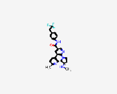 CN[C@@H]1CCN(c2ncc(C(=O)Nc3ccc(CC(F)(F)F)cc3)cc2-c2ccc(C)nc2)C1